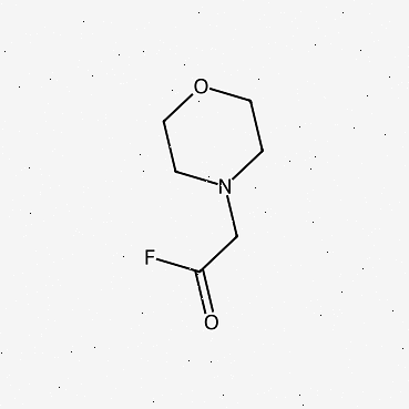 O=C(F)CN1CCOCC1